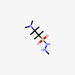 CNNS(=O)(=O)C(C)(C)C(C)(C)N(C)C